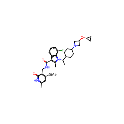 CSc1cc(C)[nH]c(=O)c1CNC(=O)c1c(C)n(C(C)C2CCC(N3CC(OC4CC4)C3)CC2)c2c(F)cccc12